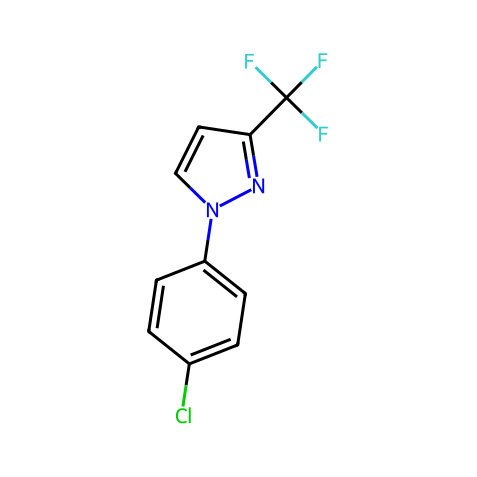 FC(F)(F)c1ccn(-c2ccc(Cl)cc2)n1